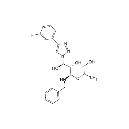 CC(CO)O[C@@H](NCc1ccccc1)[C@@H](O)[C@@H](O)n1cc(-c2cccc(F)c2)nn1